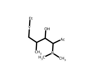 C[CH2][Y][CH2]C(C)C(O)C(C(C)=O)N(C)C